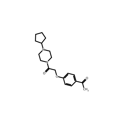 CC(=O)c1ccc(OCC(=O)N2CCN(C3CCCC3)CC2)cc1